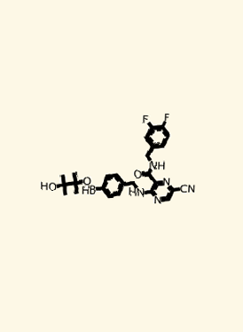 CC(C)(O)C(C)(C)OBc1ccc(CNc2ncc(C#N)nc2C(=O)NCc2ccc(F)c(F)c2)cc1